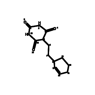 O=C1NC(=O)C(CCC2C=CCCC2)C(=O)N1